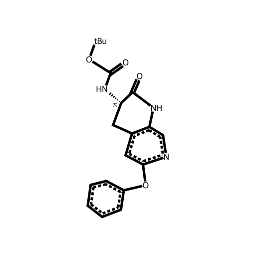 CC(C)(C)OC(=O)N[C@H]1Cc2cc(Oc3ccccc3)ncc2NC1=O